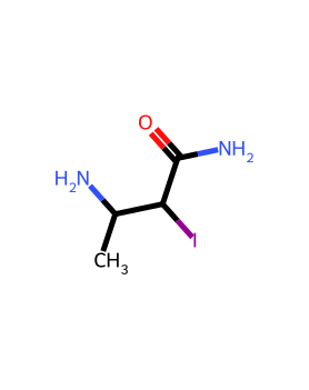 CC(N)C(I)C(N)=O